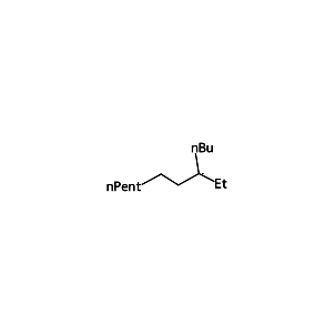 CCCCCCC[C](CC)CCCC